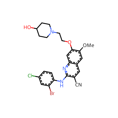 COc1cc2cc(C#N)c(Nc3ccc(Cl)cc3Br)nc2cc1OCCN1CCC(O)CC1